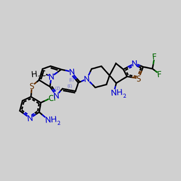 CN1C2=CC=C(Sc3ccnc(N)c3Cl)/C1=N/C=C/C(N1CCC3(CC1)Cc1nc(C(F)F)sc1C3N)=N\2